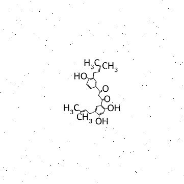 CC(C)=CCc1cc(C(=O)CC(=O)c2cc(CC=C(C)C)c(O)cc2O)ccc1O